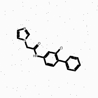 O=C(Cn1ccnc1)Nc1ccc(-c2ccccc2)c(Cl)c1